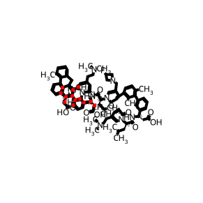 Cc1cccc(Cc2ccc(C)c(-c3cccc([C@H](CC(=O)O)NC(=O)[C@H](CC(C)C)n4cc(CN5CC(F)C5)c(-c5ccc(C)c(-c6cccc([C@H](CC(=O)O)NC(=O)[C@@H](CC(C)C)n7cc(CCN(C)C)ccc7=O)c6)c5C)cc4=O)c3)c2C)c1-c1cccc([C@H](CC(=O)O)NC(=O)[C@H](CC(C)C)n2ccc(CCN(C)C)cc2=O)c1